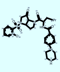 CC(C)CC(NC(=O)c1ccc(N2CCNCC2)cc1)C(=O)N1CCC2C1C(=O)CN2S(=O)(=O)c1cccc[n+]1[O-]